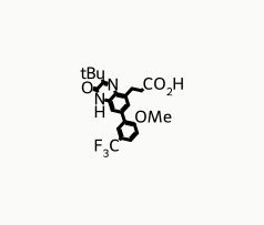 COc1ccc(C(F)(F)F)cc1-c1cc(CCC(=O)O)c2nc(C(C)(C)C)c(=O)[nH]c2c1